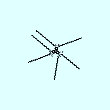 CCCCCCCCCCCCCCCCCCCC[S+]([O-])c1cc2c3cc([S+]([O-])CCCCCCCCCCCCCCCCCCCC)c([S+]([O-])CCCCCCCCCCCCCCCCCCCC)cc3c3cc([S+]([O-])CCCCCCCCCCCCCCCCCCCC)c([S+]([O-])CCCCCCCCCCCCCCCCCCCC)cc3c2cc1[S+]([O-])CCCCCCCCCCCCCCCCCCCC